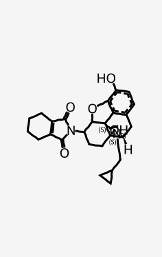 O=C1C2=C(CCCC2)C(=O)N1C1CC[C@@]2(O)[C@H]3Cc4ccc(O)c5c4[C@@]2(CCN3CC2CC2)C1O5